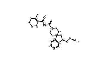 C=C(NC(=O)C1=C(C)CCCC1)N1CCC2(CC1)CC(CCN)c1ccccc12